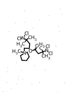 CC(C)(CC(=O)OC(CC(C)(C)N(Cl)Cl)C[N+]1(C)CCCCC1)N(Cl)Cl